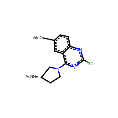 COc1ccc2nc(Cl)nc(N3CC[C@H](NC(C)=O)C3)c2c1